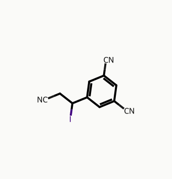 N#CCC(I)c1cc(C#N)cc(C#N)c1